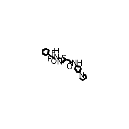 O=C(Cc1cnc(NC(=O)C(F)(F)c2ccccc2)s1)Nc1ccc(N2CCCC2)cc1